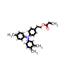 C=CC(=O)OCCc1ccc(N(c2ccc(C)cc2)c2ccc(C)c(C)c2)cc1